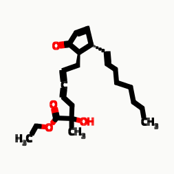 CCCCCCC=C[C@H]1C=CC(=O)[C@@H]1CC=C=CCC(C)(O)C(=O)OCC